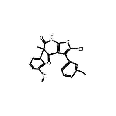 COc1cccc(C2(C)C(=O)Nc3sc(Cl)c(-c4cccc(C)c4)c3C2=O)c1